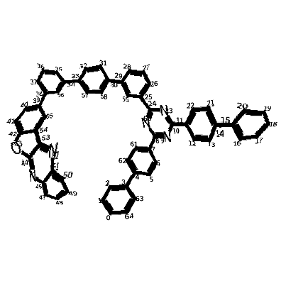 c1ccc(-c2ccc(-c3nc(-c4ccc(-c5ccccc5)cc4)nc(-c4cccc(-c5ccc(-c6cccc(-c7ccc8oc9nc%10ccccc%10nc9c8c7)c6)cc5)c4)n3)cc2)cc1